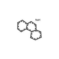 [NaH].c1ccc2c(c1)ccc1ccccc12